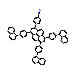 N#Cc1ccc(-c2cc(-c3ccc(-c4cccc5ccccc45)cc3)c3ccc4c(-c5ccc(-c6cccc7ccccc67)cc5)cc(-c5ccc(-c6cccc7ccccc67)cc5)c5ccc2c3c54)cc1